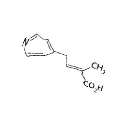 C/C(=C\Cc1ccncc1)C(=O)O